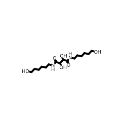 O=C(NCCCCCCO)C(O)C(O)C(=O)NCCCCCCO